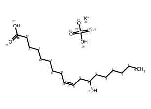 CCCCCCC(O)C/C=C\CCCCCCCC(=O)O.O=S(=O)([O-])O.[K+]